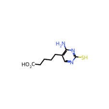 Nc1nc(S)ncc1CCCCC(=O)O